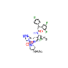 C=C/C(NC(=O)C[C@@H](c1ccc(F)cc1)c1cc(F)cc(F)c1)=C(CC[C@H]1CNCCN1S(=O)(=O)N1CCC(NC(C)=O)CC1)\C(F)=C/N